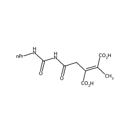 CCCNC(=O)NC(=O)C/C(C(=O)O)=C(/C)C(=O)O